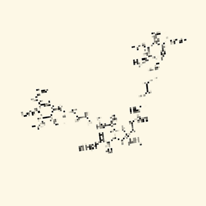 CCCCCCCNC(=O)CCC(N)(CCC(=O)NCCCCCCOC1OC(COC(C)=O)C(OC(C)=O)C(C)C1C)CCC(=O)NCCCCCCOC1OC(COC(C)=O)C(OC(C)=O)C(C)C1C